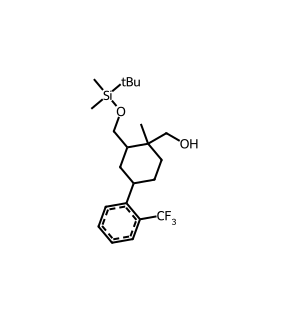 CC1(CO)CCC(c2ccccc2C(F)(F)F)CC1CO[Si](C)(C)C(C)(C)C